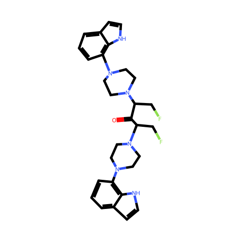 O=C(C(CF)N1CCN(c2cccc3cc[nH]c23)CC1)C(CF)N1CCN(c2cccc3cc[nH]c23)CC1